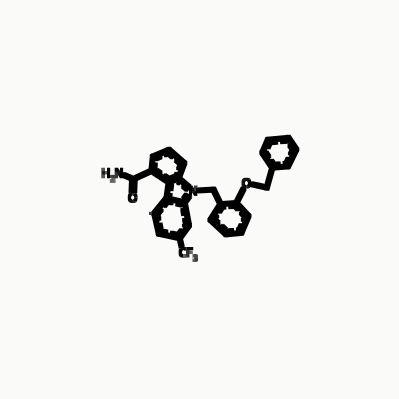 NC(=O)c1cccc2c1c1[c]cc(C(F)(F)F)cc1n2Cc1ccccc1OCc1ccccc1